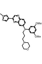 COc1cc(OC)cc(N(CCCN2CCOCC2)c2ccc3ncc(-c4cnn(C)c4)nc3c2)c1